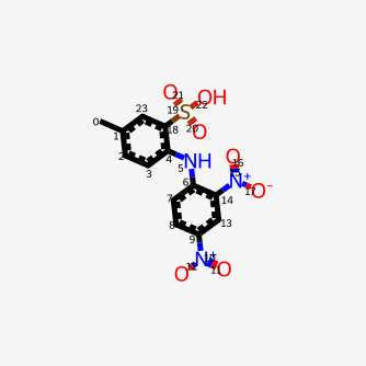 Cc1ccc(Nc2ccc([N+](=O)[O-])cc2[N+](=O)[O-])c(S(=O)(=O)O)c1